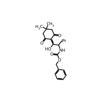 CC(C)C(NC(=O)OCc1ccccc1)C(O)=C1C(=O)CC(C)(C)CC1=O